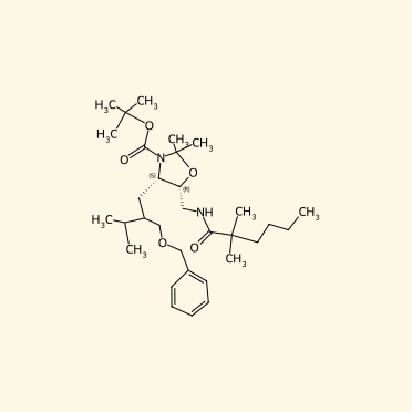 CCCCC(C)(C)C(=O)NC[C@H]1OC(C)(C)N(C(=O)OC(C)(C)C)[C@H]1CC(COCc1ccccc1)C(C)C